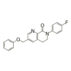 O=C1c2ncc(COc3ccccc3)cc2CCN1c1ccc(F)cc1